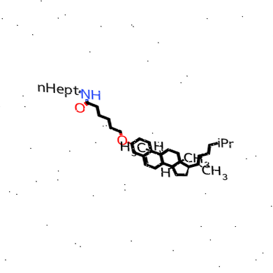 CCCCCCCNC(=O)CCCCCO[C@H]1CC[C@@]2(C)C(=CCC3[C@@H]4CC[C@H]([C@@H](C)CCCC(C)C)[C@@]4(C)CC[C@@H]32)C1